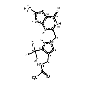 CC(=O)NCc1cn(Cc2nc3sc(C)cc3c(=O)[nH]2)nc1C(F)(F)F